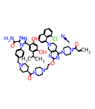 C=CC(=O)N1CCN(c2nc(OCCN3CCN(C(=O)C4CCN(Cc5ccc(-n6c(C(N)=O)nnc6-c6cc(C(C)C)c(O)cc6O)cc5)CC4)CC3)nc3c2CCN(c2cccc4cccc(Cl)c24)C3)C[C@@H]1CC#N